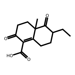 CCC1CCC2=C(C(=O)O)C(=O)CCC2(C)C1=O